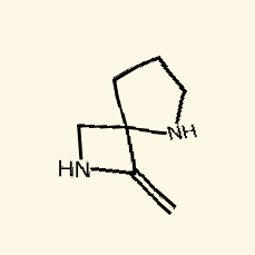 C=C1NCC12CCCN2